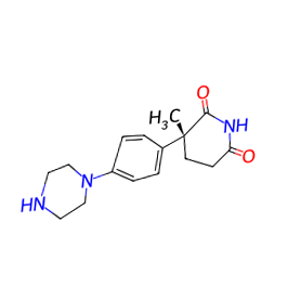 C[C@]1(c2ccc(N3CCNCC3)cc2)CCC(=O)NC1=O